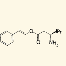 CC(C)[C@@H](N)CC(=O)O/C=C/c1ccccc1